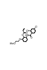 C=CC(=O)Oc1c(NC(=O)c2ccc(Cl)cc2Cl)cccc1OCCOC